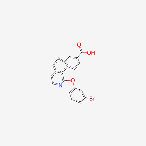 O=C(O)c1ccc2c(ccc3ccnc(Oc4cccc(Br)c4)c32)c1